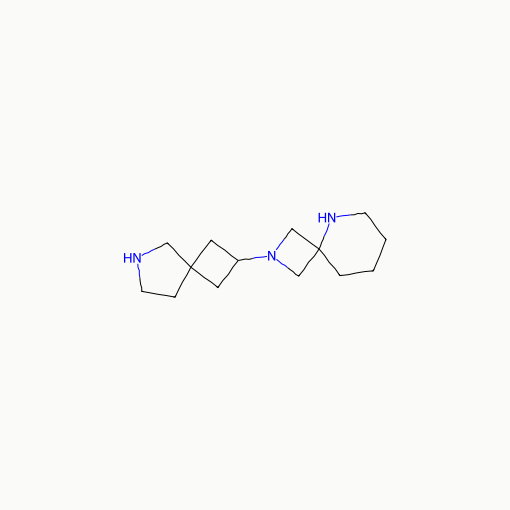 C1CCC2(CN(C3CC4(CCNC4)C3)C2)NC1